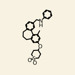 Cc1cc(OC2CCS(=O)(=O)CC2)cc2c1-c1cc(CNc3ccccc3)ccc1CCC2